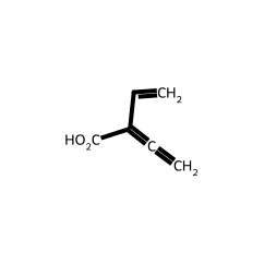 C=C=C(C=C)C(=O)O